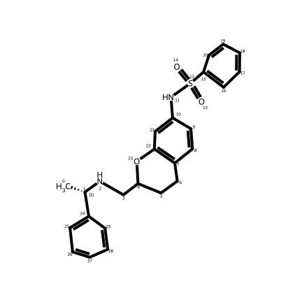 C[C@H](NCC1CCc2ccc(NS(=O)(=O)c3ccccc3)cc2O1)c1ccccc1